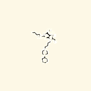 CCCCNc1nc(N)c2c(n1)N(CCCCN1CCN(C3CCCCC3)CC1)C(C=O)N2